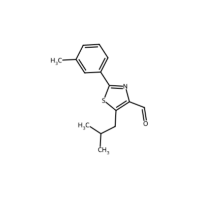 Cc1cccc(-c2nc(C=O)c(CC(C)C)s2)c1